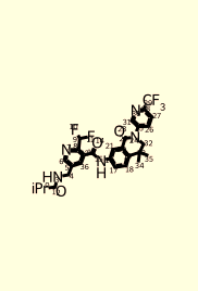 CC(C)C(=O)NCc1cnc(C(F)F)c(C(=O)Nc2ccc3c(c2)C(=O)N(c2ccc(C(F)(F)F)nc2)CC3(C)C)c1